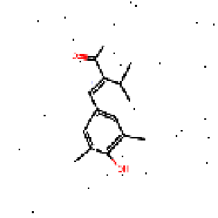 CC(=O)/C(=C/c1cc(C)c(O)c(C)c1)C(C)C